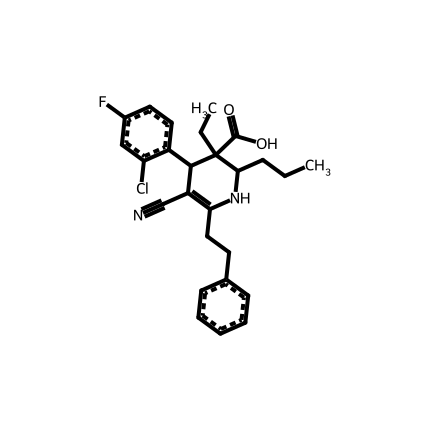 CCCC1NC(CCc2ccccc2)=C(C#N)C(c2ccc(F)cc2Cl)C1(CC)C(=O)O